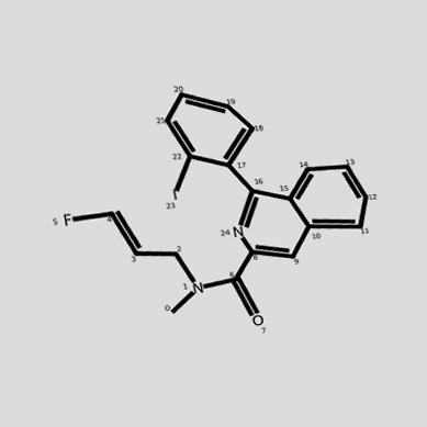 CN(CC=CF)C(=O)c1cc2ccccc2c(-c2ccccc2I)n1